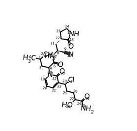 CC(C)CC(C(=O)N[C@H](C#N)C[C@@H]1CCNC1=O)n1cccc(C(Cl)CCC(O)C(N)=O)c1=O